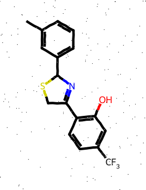 Cc1cccc(C2N=C(c3ccc(C(F)(F)F)cc3O)CS2)c1